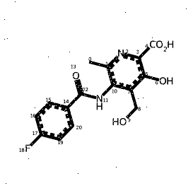 Cc1nc(C(=O)O)c(O)c(CO)c1NC(=O)c1ccc(F)cc1